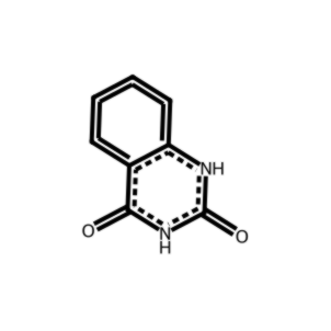 O=c1[nH]c(=O)c2c([nH]1)=C=C=C=C=2